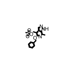 Cc1nc(OCc2ccccc2)c(COS(C)(=O)=O)c2cn[nH]c12